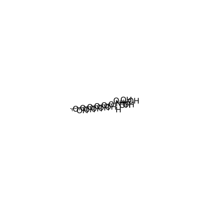 CC(C)COCC(O)COCC(O)COCC(O)COCC(O)COCC(O)COCCC(=O)NC[C@H](O)[C@@H](O)[C@H](O)CCO